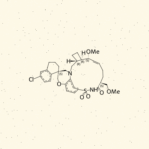 COC[C@@H]1CCC=C[C@@H](OC)[C@@H]2CC[C@H]2CN2C[C@@]3(CCCc4cc(Cl)ccc43)COc3ccc(cc32)S(=O)(=O)NC1=O